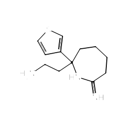 N=C1CCCCC(CCN)(c2ccsc2)N1